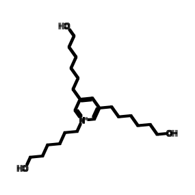 OCCCCCCc1cc(CCCCCCO)c[n+](CCCCCCO)c1